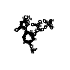 Cc1cc(=O)n(-c2ccc(Cl)cc2)[nH]1.O=S([O-])S(=O)O.[K+].[Na+].[O]=[Mn](=[O])(=[O])[O-]